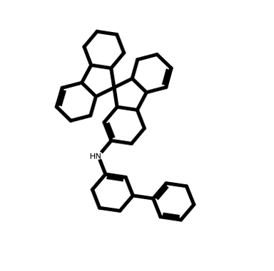 C1=CC(C2C=C(NC3=CC4C(CC3)C3C=CCCC3C43C4CCC=CC4C4CCCCC43)CCC2)=CCC1